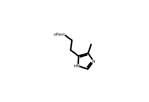 CCCCCCCc1[nH]cnc1C